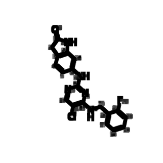 O=C1Cc2ccc(Nc3ncc(Cl)c(NCc4ccccc4F)n3)cc2N1